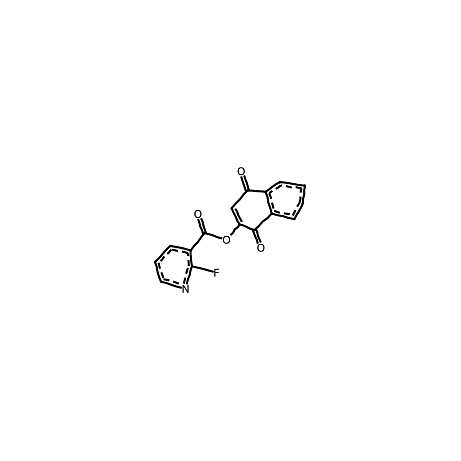 O=C1C=C(OC(=O)c2cccnc2F)C(=O)c2ccccc21